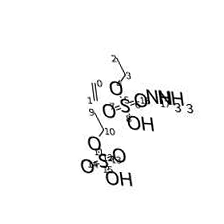 C=C.CCOS(=O)(=O)O.CCOS(=O)(=O)O.N.N